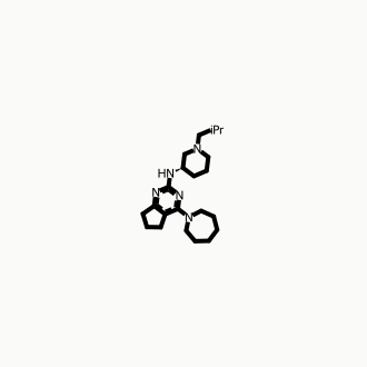 CC(C)CN1CCC[C@H](Nc2nc3c(c(N4CCCCCC4)n2)CCC3)C1